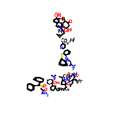 C=CCC1(CC(C)C)C(=O)NC(=O)NC1=O.CC(C)Cc1ccc(C(C)C(=O)O)cc1.CC(CN1c2ccccc2Sc2ccccc21)N(C)C.COc1cccc([C@@]2(O)CCCC[C@@H]2CN(C)C)c1.NC(=O)C[S+]([O-])C(c1ccccc1)c1ccccc1.O=C(O)c1cccnc1.O=C1CC[C@@]2(O)[C@H]3Cc4ccc(O)c5c4[C@@]2(CCN3CC2CC2)[C@H]1O5